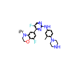 Cc1cc(Nc2ncc(F)c(-c3cc(F)c4c(c3)N(C(C)C)CCO4)n2)ccc1N1CCNCC1